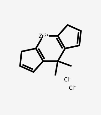 CC1(C)C2=[C](CC=C2)[Zr+2][C]2=C1C=CC2.[Cl-].[Cl-]